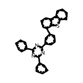 c1ccc(-c2nc(-c3ccccc3)nc(-c3cccc(-c4cccc5c4sc4ccccc45)c3)n2)cc1